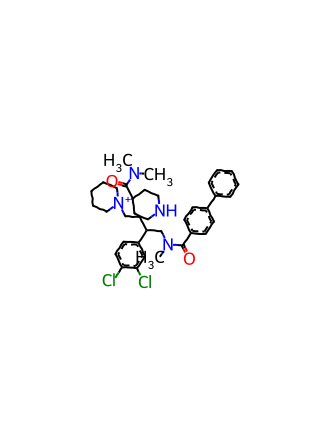 CN(C)C(=O)C1([N+]2(CCC(CN(C)C(=O)c3ccc(-c4ccccc4)cc3)c3ccc(Cl)c(Cl)c3)CCCCC2)CCNCC1